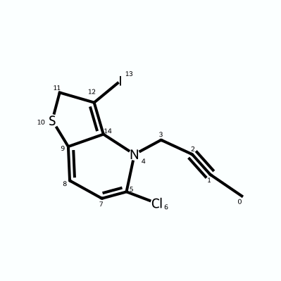 CC#CCN1C(Cl)=CC=C2SCC(I)=C21